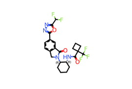 O=C1c2cc(-c3nnc(C(F)F)o3)ccc2CN1[C@@H]1CCCC[C@H]1NC(=O)C1(C(F)(F)F)CCC1